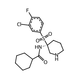 O=C(N[C@]1(S(=O)(=O)c2ccc(F)c(Cl)c2)CCCNC1)C1CCCCC1